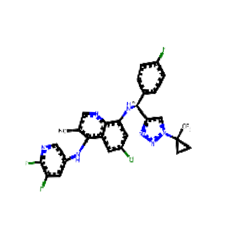 N#Cc1cnc2c(N[C@@H](c3ccc(F)cc3)c3cn(C4(C(F)(F)F)CC4)nn3)cc(Cl)cc2c1Nc1cnc(F)c(F)c1